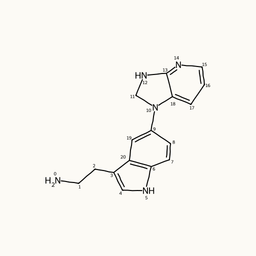 NCCc1c[nH]c2ccc(N3CNc4ncccc43)cc12